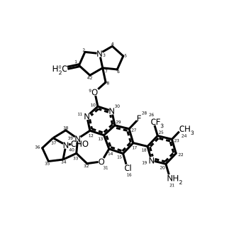 C=C1CN2CCCC2(COc2nc3c4c(c(Cl)c(-c5nc(N)cc(C)c5C(F)(F)F)c(F)c4n2)OCC2C4CCC(CN32)N4C=O)C1